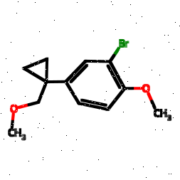 COCC1(c2ccc(OC)c(Br)c2)CC1